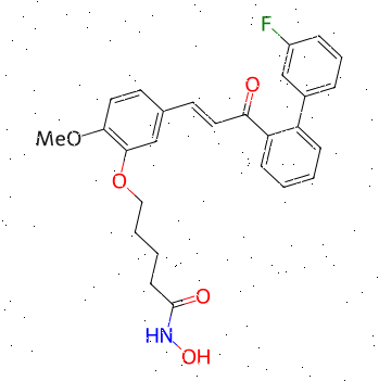 COc1ccc(/C=C/C(=O)c2ccccc2-c2cccc(F)c2)cc1OCCCCC(=O)NO